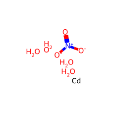 O.O.O.O.O=[N+]([O-])[O-].[Cd]